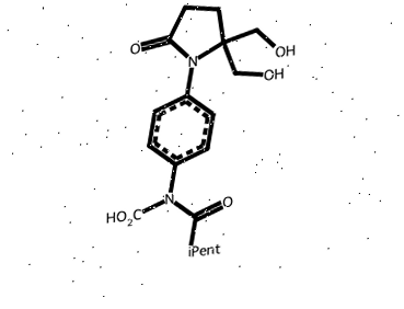 CCCC(C)C(=O)N(C(=O)O)c1ccc(N2C(=O)CCC2(CO)CO)cc1